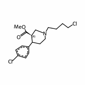 COC(=O)[C@H]1CN(CCCCCl)CCC1c1ccc(Cl)cc1